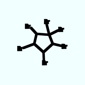 BrC1C(Br)C(Br)C(Br)(Br)C1Br